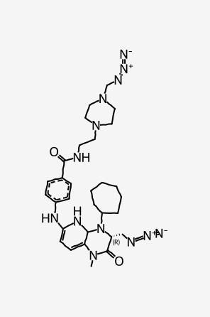 CN1C(=O)[C@@H](CN=[N+]=[N-])N(C2CCCCCC2)C2NC(Nc3ccc(C(=O)NCCN4CCN(CN=[N+]=[N-])CC4)cc3)=CC=C21